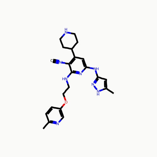 [C-]#[N+]c1c(C2CCNCC2)cc(Nc2cc(C)[nH]n2)nc1NCCOc1ccc(C)nc1